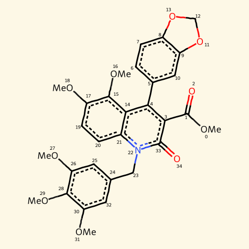 COC(=O)c1c(-c2ccc3c(c2)OCO3)c2c(OC)c(OC)ccc2n(Cc2cc(OC)c(OC)c(OC)c2)c1=O